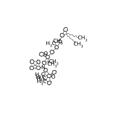 CCCCCCCC1(CCCCCCC)c2ccccc2-c2ccc(-c3ccc4c(c3)C(C)(C)c3cc(-c5ccc(-c6cc7c(c8c6oc6ccccc68)-c6ccc(N(c8ccc9c(c8)C(C)(C)c8c%10c(c%11oc%12ccccc%12c%11c8-9)-c8ccccc8C%10(C)C)c8ccc9c(c8)C8(c%10ccccc%10-c%10ccccc%108)c8ccccc8-9)cc6C7(C)C)cc5)ccc3-4)cc21